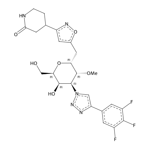 CO[C@@H]1[C@@H](n2cc(-c3cc(F)c(F)c(F)c3)nn2)[C@@H](O)[C@@H](CO)O[C@@H]1Cc1cc(C2CCNC(=O)C2)no1